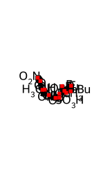 CCCCC1=CC(CCC(=O)NC(CS(=O)(=O)O)C(=O)NCCOc2cc([N+](=O)[O-])c(C(C)OC(=O)Oc3ccc([N+](=O)[O-])cc3)cc2OC)=[N+](C)/C1=C\c1c(CCCC)cc(CCCC)n1B(F)F